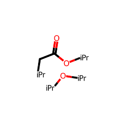 CC(C)CC(=O)OC(C)C.CC(C)OC(C)C